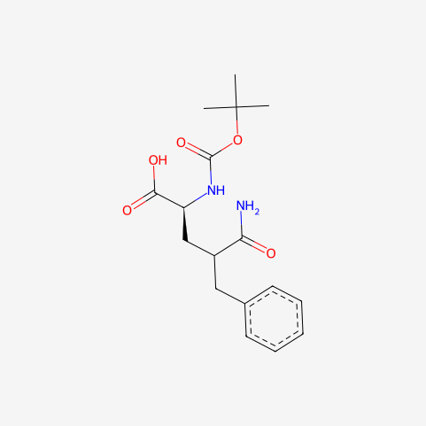 CC(C)(C)OC(=O)N[C@@H](CC(Cc1ccccc1)C(N)=O)C(=O)O